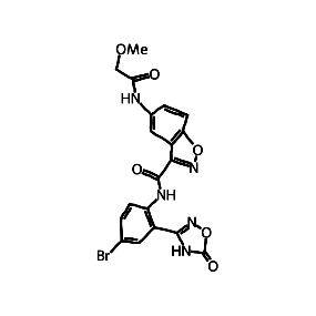 COCC(=O)Nc1ccc2onc(C(=O)Nc3ccc(Br)cc3-c3noc(=O)[nH]3)c2c1